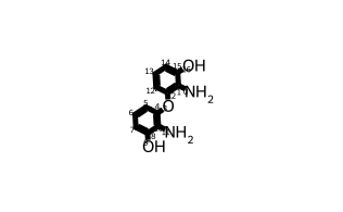 Nc1c(Oc2[c]ccc(O)c2N)[c]ccc1O